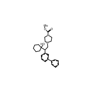 CC(C)(C)OC(=O)N1CCN(CC(c2cccc(-c3ccccc3)c2)C2(O)CCCCC2)CC1